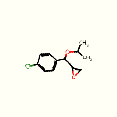 CC(C)OC(c1ccc(Cl)cc1)C1CO1